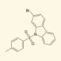 Cc1ccc(S(=O)(=O)n2c3ccccc3c3ccc(Br)cc32)cc1